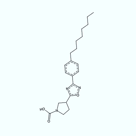 CCCCCCCCc1ccc(-c2noc(C3CCN(C(=O)O)C3)n2)cc1